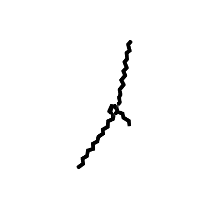 CCCCCCCCCCCCCCCN1C=CN(CCCCCCCCCCCCCC)C1CCCC